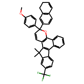 COc1ccc(C2(c3ccc4c(c3)CCC=C4)C=Cc3c4c(c5ccccc5c3O2)-c2ccc(C(F)(F)F)cc2C4(C)C)cc1